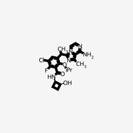 Cc1nc(C(C)c2cc(Cl)c(F)c(C(=O)N[C@@H]3CC[C@H]3O)c2OC(C)C)n2ccnc(N)c12